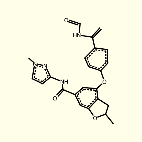 C=C(NC=O)c1ccc(Oc2cc(C(=O)Nc3ccn(C)n3)cc3c2CC(C)O3)cc1